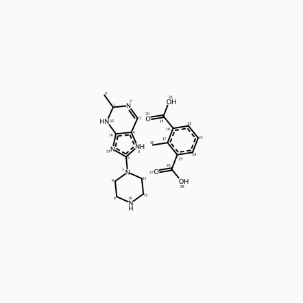 CC1N=Cc2[nH]c(N3CCNCC3)nc2N1.Cc1c(C(=O)O)cccc1C(=O)O